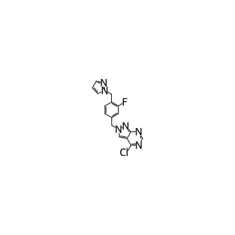 Fc1cc(Cn2cc3c(Cl)ncnc3n2)ccc1Cn1cccn1